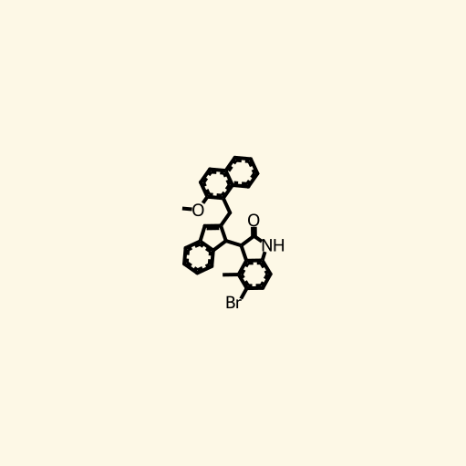 COc1ccc2ccccc2c1CC1=Cc2ccccc2C1C1C(=O)Nc2ccc(Br)c(C)c21